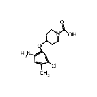 Cc1cc(N)c(OC2CCN(C(=O)O)CC2)cc1Cl